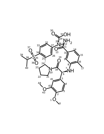 COc1ccc([C@H](Nc2cc(C(N)=O)ccc2C)C(=O)N2CCC[C@@H]2c2cc(NC(=O)O)ccc2S(=O)(=O)C(C)C)cc1OC